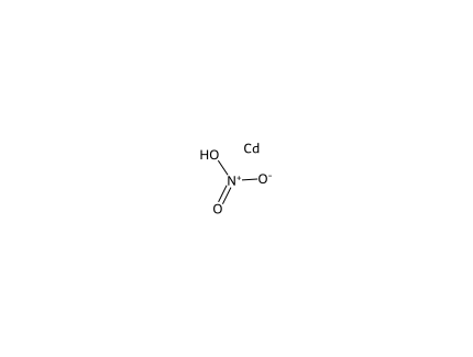 O=[N+]([O-])O.[Cd]